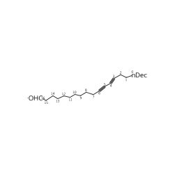 CCCCCCCCCCCCC#CC#CCCCCCCCCC[C]=O